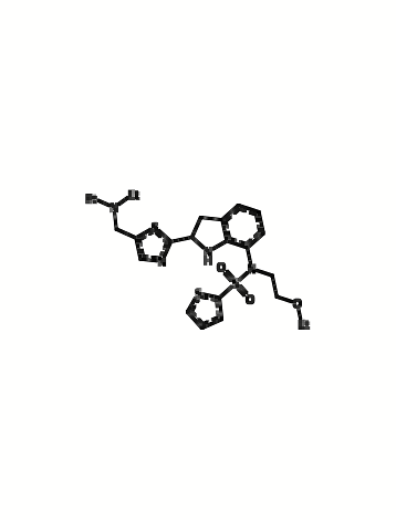 CCOCCN(c1cccc2c1NC(c1ncc(CN(CC)CC)s1)C2)S(=O)(=O)c1cccs1